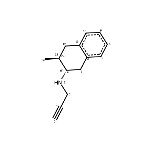 C#CCN[C@H]1Cc2ccccc2C[C@@H]1C